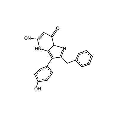 O=NC1=CC(=O)C2N=C(Cc3ccccc3)C(c3ccc(O)cc3)=C2N1